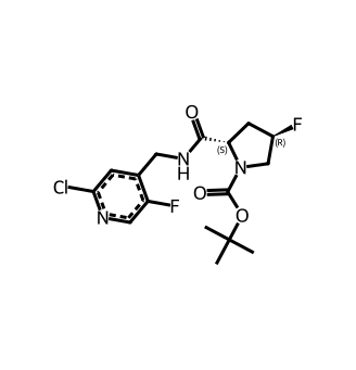 CC(C)(C)OC(=O)N1C[C@H](F)C[C@H]1C(=O)NCc1cc(Cl)ncc1F